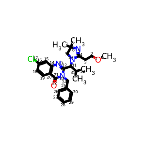 COCCC1=NC(C)(C)CN1C(c1nc2cc(Cl)ccc2c(=O)n1Cc1ccccc1)C(C)C